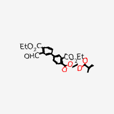 C=C(C)C(=O)OCCOC(=O)c1ccc(-c2ccc(C(=O)OCC)c(C=O)c2)cc1C(=O)OCC